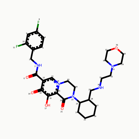 O=C(NCc1ccc(F)cc1F)c1cn2c(c(O)c1=O)C(=O)N(C1CCCCC1CNCCN1CCOCC1)CC2